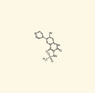 CC(C)c1cc2[nH]c(=O)n(NS(C)(=O)=O)c(=O)c2cc1-c1ccnnc1